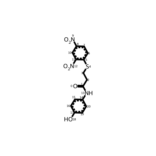 O=C(CCSc1ccc([N+](=O)[O-])cc1[N+](=O)[O-])Nc1ccc(O)cc1